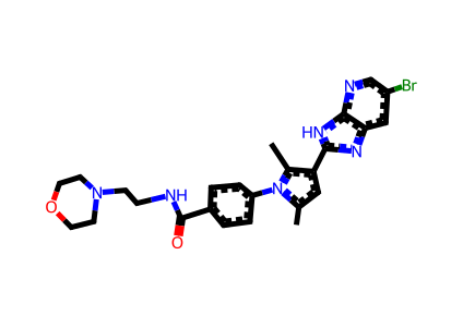 Cc1cc(-c2nc3cc(Br)cnc3[nH]2)c(C)n1-c1ccc(C(=O)NCCN2CCOCC2)cc1